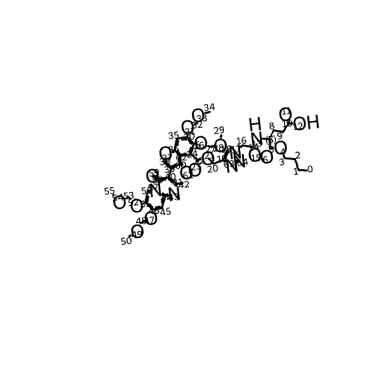 CCCCOC(=O)[C@H](CCC(=O)O)NC(=O)Cn1cc(COC(=O)c2c(OCOC)c(OCOC)cc3occ(-c4c(C)nc5cc(OCOC)c(OCOC)cn5c4=O)c(=O)c23)nn1